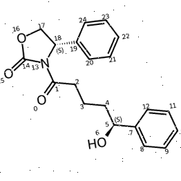 O=C(CCC[C@H](O)c1ccccc1)N1C(=O)OC[C@@H]1c1ccccc1